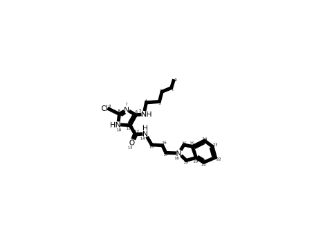 CCCCCNc1nc(Cl)[nH]c1C(=O)NCCCN1Cc2ccccc2C1